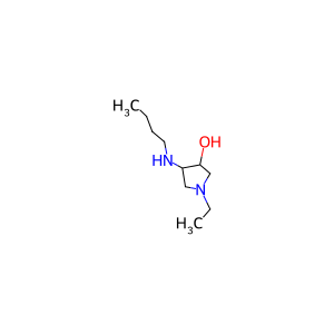 CCCCNC1CN(CC)CC1O